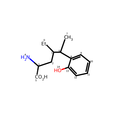 CCC(CC(N)C(=O)O)C(C)c1ccccc1O